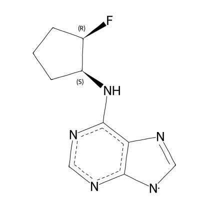 F[C@@H]1CCC[C@@H]1Nc1ncnc2c1N=C[N]2